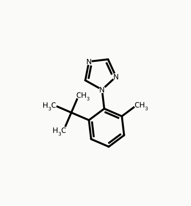 Cc1cccc(C(C)(C)C)c1-n1cncn1